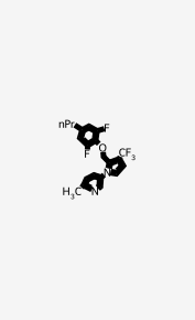 CCCc1cc(F)c(OCc2c(C(F)(F)F)ccn2-c2ccc(C)nc2)c(F)c1